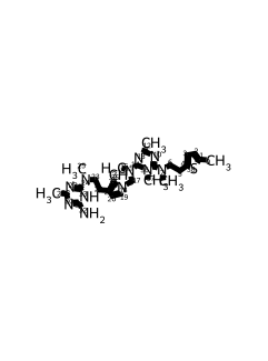 Cc1ccc(CCN(C)C2=NC(C)N=C(N(C)Cn3ccc(CCN(C)C4=NC(C)N=C(N)N4)c3C)N2C)s1